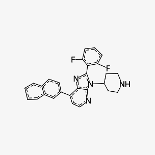 Fc1cccc(F)c1-c1nc2c(-c3ccc4ccccc4c3)ccnc2n1C1CCNCC1